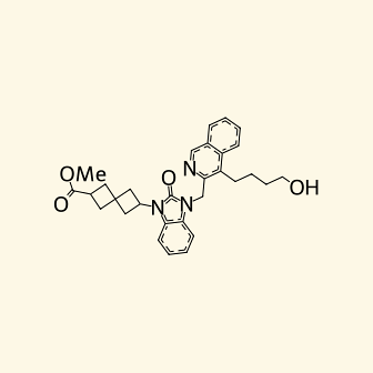 COC(=O)C1CC2(C1)CC(n1c(=O)n(Cc3ncc4ccccc4c3CCCCO)c3ccccc31)C2